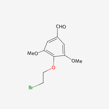 COc1cc(C=O)cc(OC)c1OCCBr